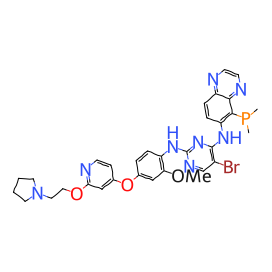 COc1cc(Oc2ccnc(OCCN3CCCC3)c2)ccc1Nc1ncc(Br)c(Nc2ccc3nccnc3c2P(C)C)n1